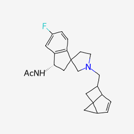 CC(=O)N[C@H]1CC2(CCN(CC3CC45CC4C=CC35)C2)c2ccc(F)cc21